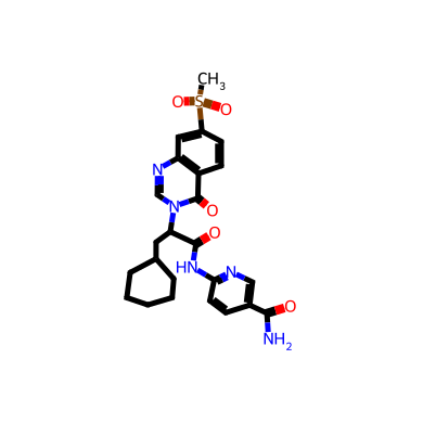 CS(=O)(=O)c1ccc2c(=O)n(C(CC3CCCCC3)C(=O)Nc3ccc(C(N)=O)cn3)cnc2c1